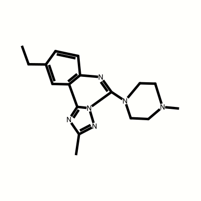 CCc1ccc2nc(N3CCN(C)CC3)n3nc(C)nc3c2c1